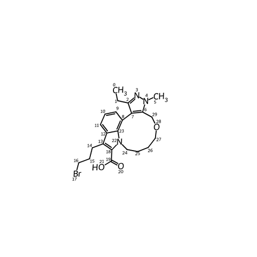 CCc1nn(C)c2c1-c1cccc3c(CCCBr)c(C(=O)O)n(c13)CCCCOC2